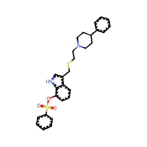 O=S(=O)(Oc1cccc2c(CSCCN3CCC(c4ccccc4)CC3)c[nH]c12)c1ccccc1